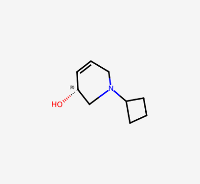 O[C@@H]1C=CCN(C2CCC2)C1